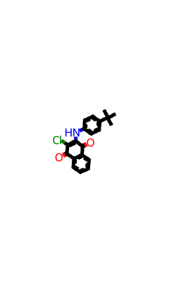 CC(C)(C)c1ccc(NC2=C(Cl)C(=O)c3ccccc3C2=O)cc1